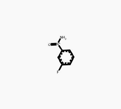 N[N+](=O)c1[c]ccc(F)c1